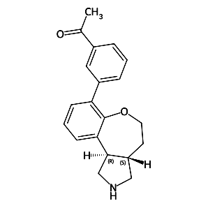 CC(=O)c1cccc(-c2cccc3c2OCC[C@@H]2CNC[C@@H]32)c1